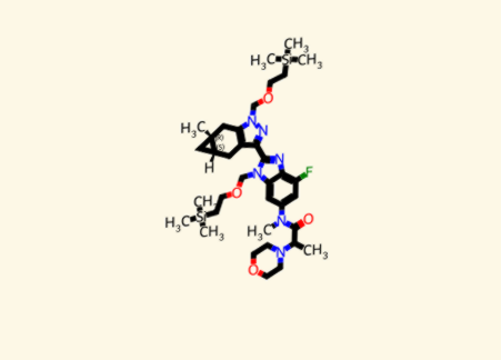 CC(C(=O)N(C)c1cc(F)c2nc(-c3nn(COCC[Si](C)(C)C)c4c3C[C@@H]3C[C@]3(C)C4)n(COCC[Si](C)(C)C)c2c1)N1CCOCC1